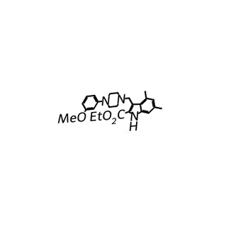 CCOC(=O)c1[nH]c2cc(C)cc(C)c2c1CN1CCN(c2cccc(OC)c2)CC1